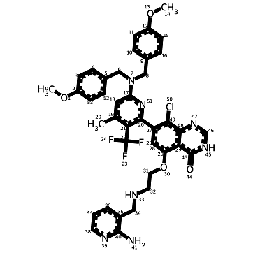 COc1ccc(CN(Cc2ccc(OC)cc2)c2cc(C)c(C(F)(F)F)c(-c3cc(OCCNCc4cccnc4N)c4c(=O)[nH]cnc4c3Cl)n2)cc1